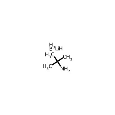 B.CC(C)(C)N.[LiH]